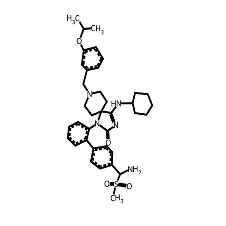 CC(C)Oc1cccc(CN2CCC3(CC2)C(NC2CCCCC2)=NC(=O)N3c2ccccc2-c2ccc(C(N)S(C)(=O)=O)cc2)c1